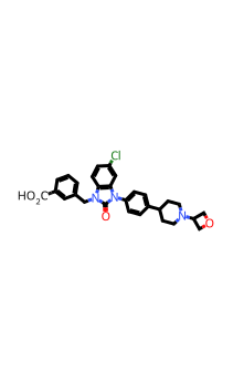 O=C(O)c1cccc(Cn2c(=O)n(-c3ccc(C4CCN(C5COC5)CC4)cc3)c3cc(Cl)ccc32)c1